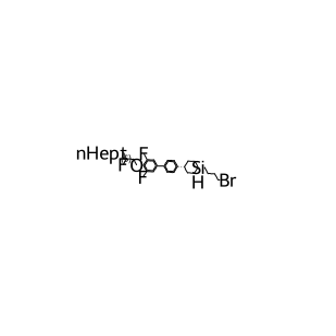 CCCCCCC[C@H](F)COc1c(F)cc(-c2ccc([C@H]3CC[Si@H](CCCCBr)CC3)cc2)cc1F